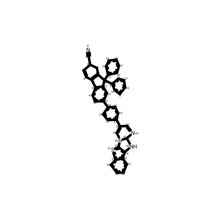 N#CC1C=CC2=C(C1)C(c1ccccc1)(c1ccccc1)c1cc(-c3ccc(C4=CN5c6sc7ccccc7c6NC5N=C4)cc3)ccc12